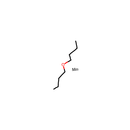 CCCCOCCCC.[Mn]